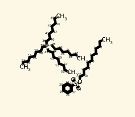 CCCCCCCCCCCCOS(=O)(=O)c1ccccc1.CCCCCCCC[P+](CCCCCCCC)(CCCCCCCC)CCCCCCCC